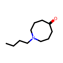 CCCCN1CCCC(=O)CCC1